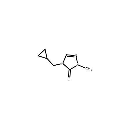 Cn1ncn(CC2CC2)c1=O